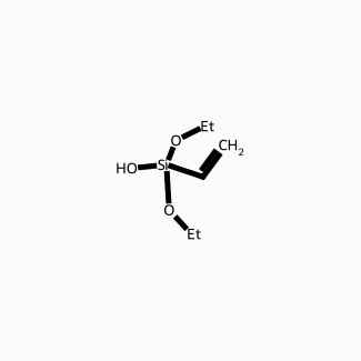 C=C[Si](O)(OCC)OCC